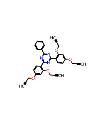 C#CCOc1ccc(-c2nc(-c3ccccc3)nc(-c3ccc(OCC#C)cc3OCC#C)n2)c(OCC#C)c1